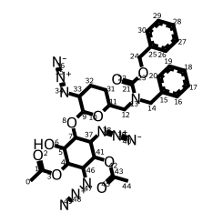 CC(=O)OC1C(O)C(OC2OC(CN(Cc3ccccc3)C(=O)OCc3ccccc3)CCC2N=[N+]=[N-])C(N=[N+]=[N-])C(OC(C)=O)C1N=[N+]=[N-]